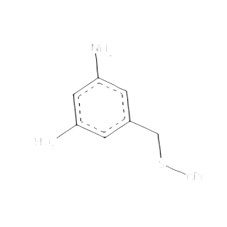 CCCSCc1cc(C)cc(N)c1